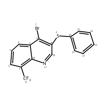 FC(F)(F)c1cccc2c(Br)c(Sc3ccccc3)cnc12